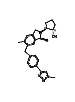 Cc1cc2c(cc1Cc1ccc(-c3cn(C)nn3)cc1)C(=O)N([C@H]1CCC[C@@H]1O)C2